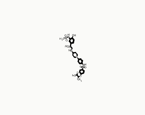 CC(Oc1ccc(S(=O)(=O)Nc2ccc(N3CCC(NC[C@H](O)c4ccc(O)c(NS(C)(=O)=O)c4)CC3)cc2)cc1)C(=O)O